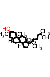 CC(C)CCC[C@@H](C)[C@H]1CC[C@H]2C3=C(CC[C@]12C)[C@@]1(C)CC[C@](C)(O)C[C@@H]1CC3